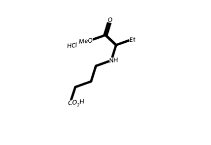 CCC(NCCCC(=O)O)C(=O)OC.Cl